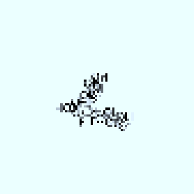 OB(O)Oc1c(F)c(F)c(F)c(F)c1F.[O-][I+2]([O-])O.[O-][I+2]([O-])O.[O-][I+2]([O-])O.[O-][I+2]([O-])O